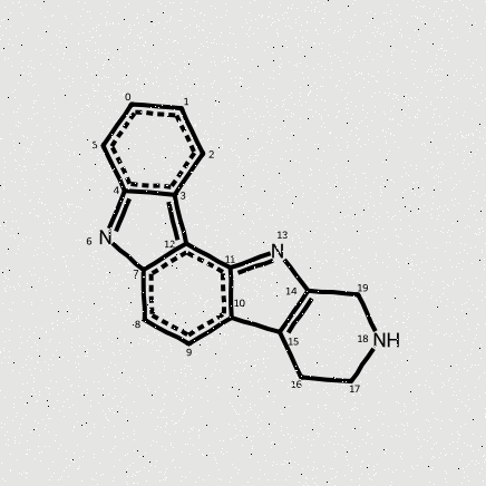 c1ccc2c(c1)=Nc1ccc3c(c1=2)=NC1=C3CCNC1